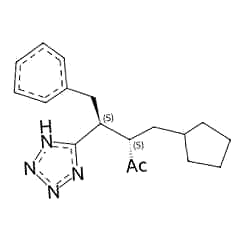 CC(=O)[C@@H](CC1CCCC1)[C@H](Cc1ccccc1)c1nnn[nH]1